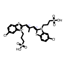 CC(/C=C1\Sc2ccc(Cl)cc2N1CCCS(=O)(=O)O)=C\c1sc2ccc(Cl)cc2[n+]1CCCS(=O)(=O)O